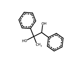 CC(O)(c1ccccc1)C(O)c1ccccc1